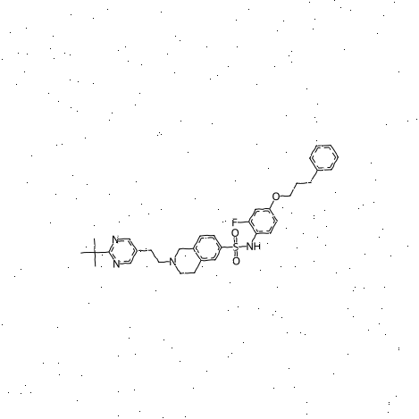 CC(C)(C)c1ncc(CCN2CCc3cc(S(=O)(=O)Nc4ccc(OCCCc5ccccc5)cc4F)ccc3C2)cn1